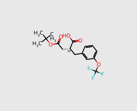 CC(C)(C)OC(=O)C[C@@H](Cc1cccc(OC(F)(F)F)c1)C(=O)O